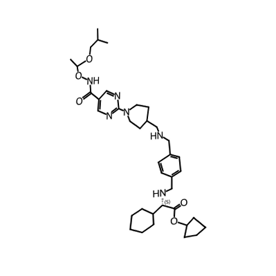 CC(C)COC(C)ONC(=O)c1cnc(N2CCC(CNCc3ccc(CN[C@H](C(=O)OC4CCCC4)C4CCCCC4)cc3)CC2)nc1